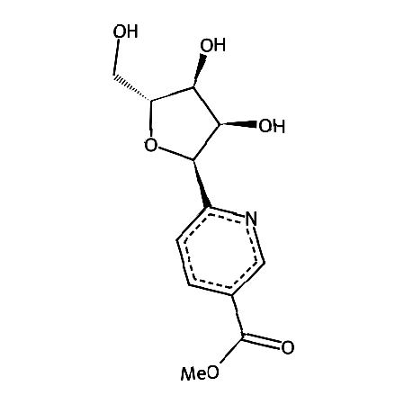 COC(=O)c1ccc([C@H]2O[C@H](CO)[C@@H](O)[C@H]2O)nc1